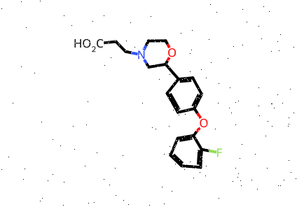 O=C(O)CCN1CCOC(c2ccc(Oc3ccccc3F)cc2)C1